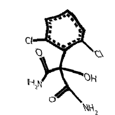 NC(=O)C(O)(C(N)=O)c1c(Cl)cccc1Cl